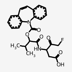 CC(C)C(OC(=O)N1c2ccccc2C=Cc2ccccc21)C(=O)NC(CC(=O)O)C(=O)CF